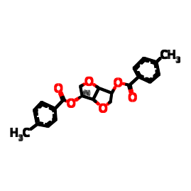 Cc1ccc(C(=O)OC2COC3C2OC[C@@H]3OC(=O)c2ccc(C)cc2)cc1